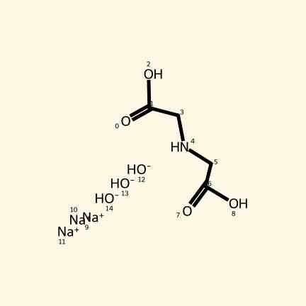 O=C(O)CNCC(=O)O.[Na+].[Na+].[Na+].[OH-].[OH-].[OH-]